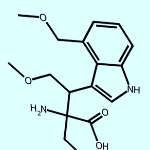 CCC(N)(C(=O)O)C(COC)c1c[nH]c2cccc(COC)c12